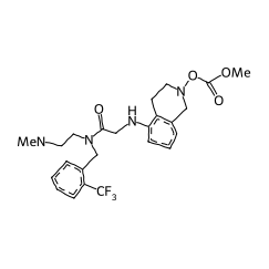 CNCCN(Cc1ccccc1C(F)(F)F)C(=O)CNc1cccc2c1CCN(OC(=O)OC)C2